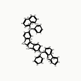 c1ccc(N(c2ccc3oc4sc5cc(N(c6ccccc6)c6cccc7c6sc6ccccc67)ccc5c4c3c2)c2cccc3ccccc23)cc1